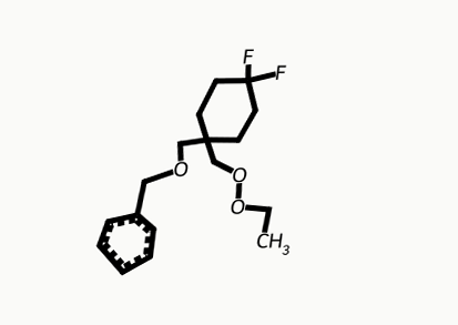 CCOOCC1(COCc2ccccc2)CCC(F)(F)CC1